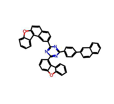 c1ccc2cc(-c3ccc(-c4nc(-c5ccc6ccc7oc8ccccc8c7c6c5)nc(-c5cccc6oc7ccccc7c56)n4)cc3)ccc2c1